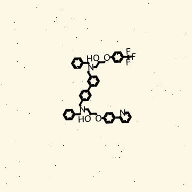 OC(COc1ccc(-c2ccccn2)cc1)CN(Cc1ccccc1)Cc1ccc(-c2cccc(CN(Cc3ccccc3)CC(O)COc3ccc(C(F)(F)F)cc3)c2)cc1